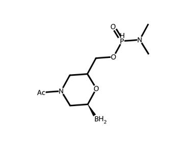 B[C@H]1CN(C(C)=O)CC(CO[PH](=O)N(C)C)O1